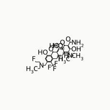 CCN(CCF)Cc1cc(O)c2c(c1C(F)(F)F)C[C@H]1C[C@H]3[C@H](N(C)C)C(O)=C(C(N)=O)C(=O)[C@@]3(O)C(O)=C1C2=O